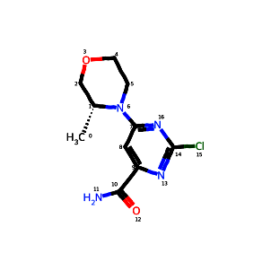 C[C@@H]1COCCN1c1cc(C(N)=O)nc(Cl)n1